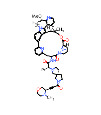 CCn1c(-c2cccnc2[C@H](C)OC)c2c3cc(ccc31)-c1cccc(n1)C[C@H](NC(=O)[C@H](C(C)C)N1CC[C@@]3(CCN(C(=O)C#C[C@@H]4COCCN4C)C3)C1)C(=O)N1CCC[C@H](N1)C(=O)OCC(C)(C)C2